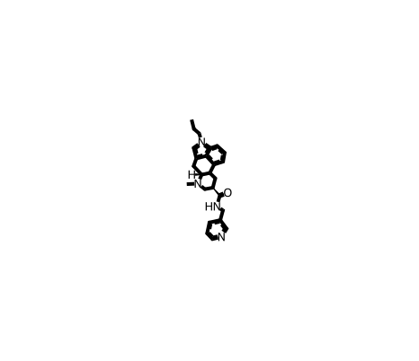 CCCn1cc2c3c(cccc31)C1C[C@@H](C(=O)NCc3cccnc3)CN(C)[C@@H]1C2